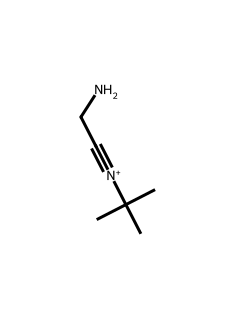 CC(C)(C)[N+]#CCN